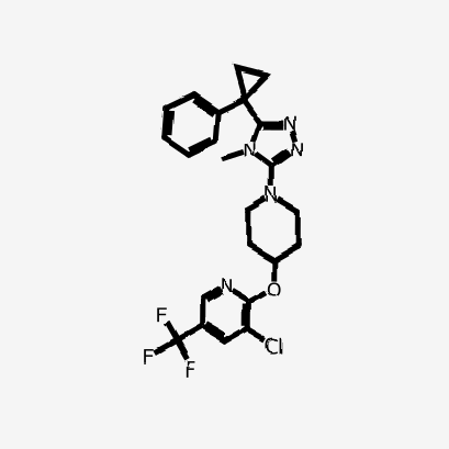 Cn1c(N2CCC(Oc3ncc(C(F)(F)F)cc3Cl)CC2)nnc1C1(c2ccccc2)CC1